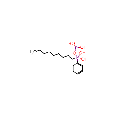 CCCCCCCCCP(O)(O)(OP(O)O)c1ccccc1